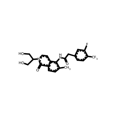 Cc1ccc2c(=O)n(C(CO)CO)ccc2c1NC(=O)Cc1ccc(C(F)(F)F)c(F)c1